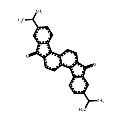 CC(C)c1ccc2c(c1)c(=O)c1ccc3c(ccc4c(=O)c5cc(C(C)C)ccc5c43)c12